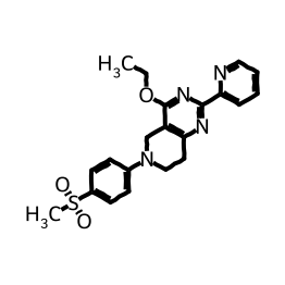 CCOc1nc(-c2ccccn2)nc2c1CN(c1ccc(S(C)(=O)=O)cc1)CC2